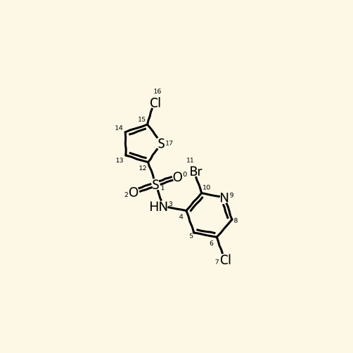 O=S(=O)(Nc1cc(Cl)cnc1Br)c1ccc(Cl)s1